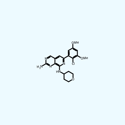 COc1cc(OC)c(Cl)c(-c2cc3cnc(N)nc3c(NC3CCOCC3)n2)c1